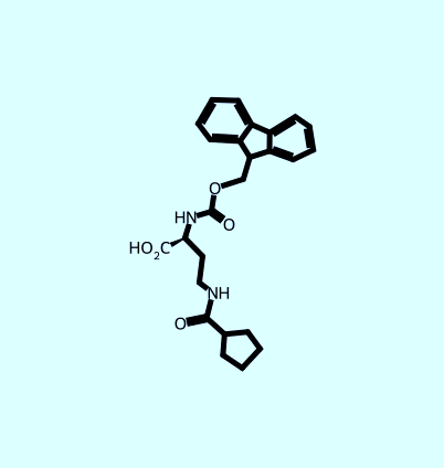 O=C(N[C@@H](CCNC(=O)C1CCCC1)C(=O)O)OCC1c2ccccc2-c2ccccc21